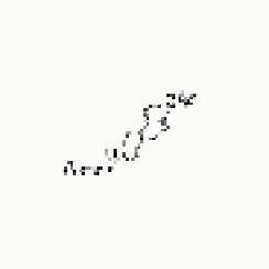 CC(=O)OCC(=O)[C@H]1CCC2C3CC=C4C[C@@H](OC(C)=O)CC[C@]4(C)C3CC[C@@]21C